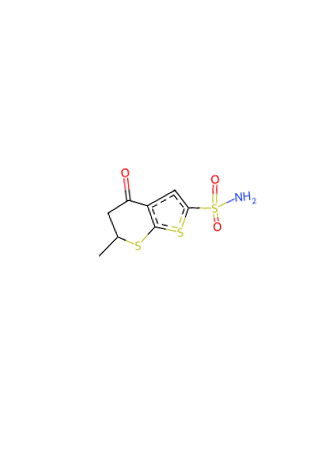 CC1CC(=O)c2cc(S(N)(=O)=O)sc2S1